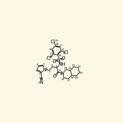 N#Cc1cccn1CCC(NS(=O)(=O)c1c(Cl)cc(Cl)cc1Cl)C(=O)N1CCC2CCCCC2C1